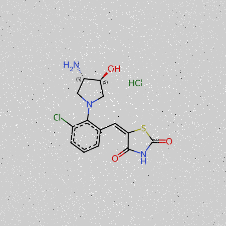 Cl.N[C@H]1CN(c2c(Cl)cccc2C=C2SC(=O)NC2=O)C[C@@H]1O